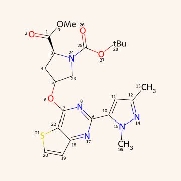 COC(=O)[C@@H]1CC(Oc2nc(-c3cc(C)nn3C)nc3ccsc23)CN1C(=O)OC(C)(C)C